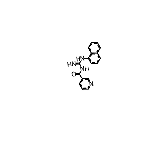 N=C(NC(=O)c1cccnc1)Nc1cccc2ccccc12